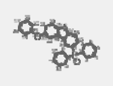 O=P(c1ccccc1)(c1ccccc1)c1ccc2sc3ccc(Oc4ccccc4)cc3c2c1